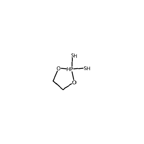 S[PH]1(S)OCCO1